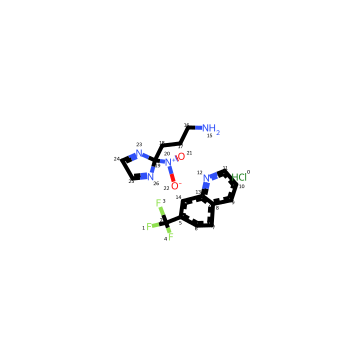 Cl.FC(F)(F)c1ccc2cccnc2c1.NCCCC1([N+](=O)[O-])N=CC=N1